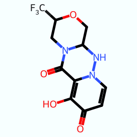 O=C1c2c(O)c(=O)ccn2NC2COC(C(F)(F)F)CN12